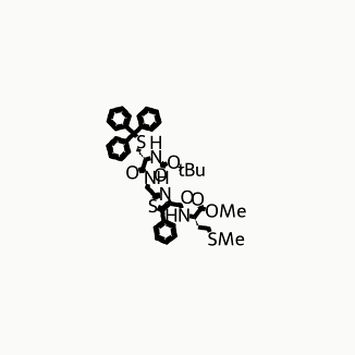 COC(=O)[C@H](CCSC)NC(=O)c1nc(CNC(=O)[C@H](CSC(c2ccccc2)(c2ccccc2)c2ccccc2)NC(=O)OC(C)(C)C)sc1-c1ccccc1